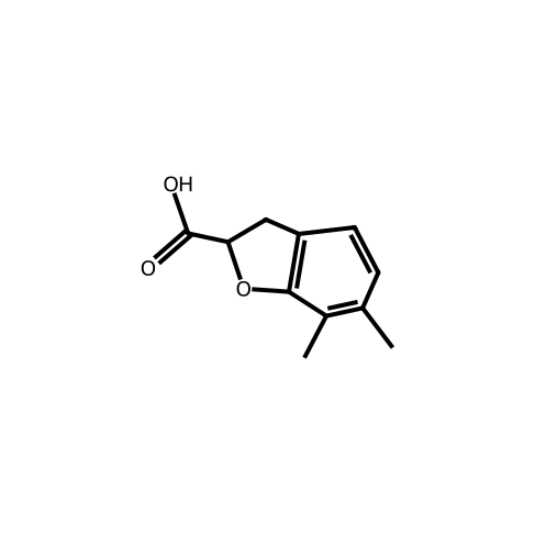 Cc1ccc2c(c1C)OC(C(=O)O)C2